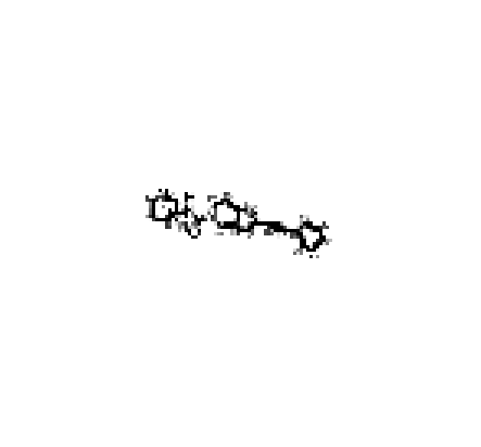 O=C(N[C@H]1CN2CCC1CC2)N1C=c2cc(C#Cc3ccccc3)sc2=CC1